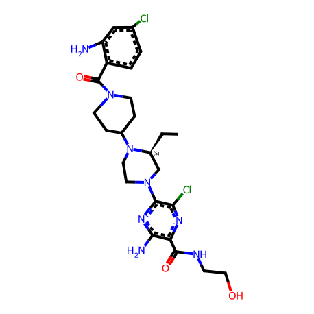 CC[C@H]1CN(c2nc(N)c(C(=O)NCCO)nc2Cl)CCN1C1CCN(C(=O)c2ccc(Cl)cc2N)CC1